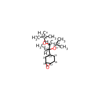 C[SiH2]C(CO[Si](C)(C)C)(O[Si](C)(C)C)C1CCC2OC2C1